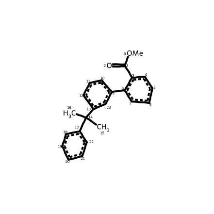 COC(=O)c1ccccc1-c1[c]ccc(C(C)(C)c2ccccc2)c1